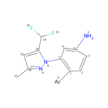 CC(=O)c1ccc(N)cc1-n1nc(C)cc1C(F)F